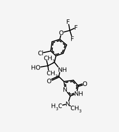 CN(C)c1nc(C(=O)NC(c2ccc(OC(F)(F)F)cc2Cl)C(C)(C)O)cc(=O)[nH]1